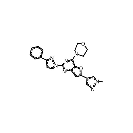 Cn1cc(-c2cc3nc(-n4ccc(-c5ccccc5)n4)nc(N4CCOCC4)c3o2)cn1